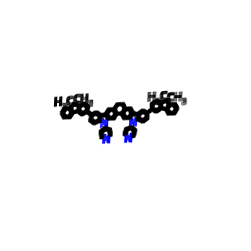 CC1(C)c2ccccc2-c2cc(-c3ccc4c(c3)c3cc5c(cc3n4-c3ccncc3)-c3cc4c(cc3CC5)c3cc(-c5ccc6c(c5)-c5ccccc5C6(C)C)ccc3n4-c3ccncc3)ccc21